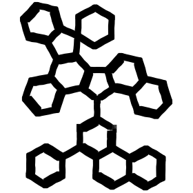 c1ccc(-c2nc(-n3c4c5ccccc5ccc4c4c5c(c6ccccc6c43)-c3ccccc3C53CCCCC3)nc3c2ccc2ccccc23)cc1